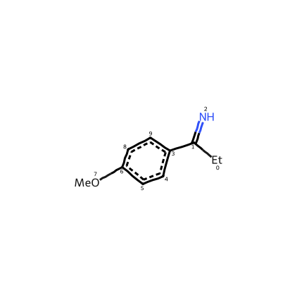 CCC(=N)c1ccc(OC)cc1